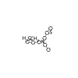 CC1(C)c2ccccc2-c2ccc(-c3ccc(N(c4ccc(-c5ccccc5)cc4)c4ccc(-c5ccc6c(c5)sc5ccccc56)cc4)cc3)cc21